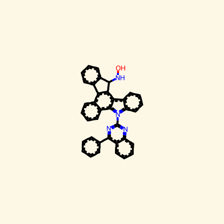 ONC1c2ccccc2-c2c1c1c3ccccc3n(-c3nc(-c4ccccc4)c4ccccc4n3)c1c1ccccc21